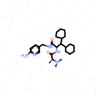 C[C@@H](C(=O)N[C@@H](C(=O)NCc1ccc(N)nc1)C(C1CCCCC1)C1CCCCC1)N(C)C